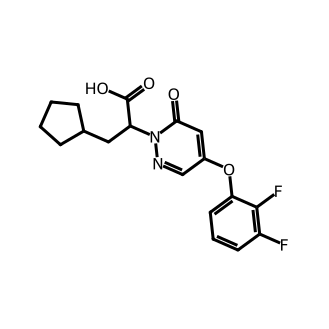 O=C(O)C(CC1CCCC1)n1ncc(Oc2cccc(F)c2F)cc1=O